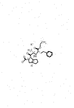 CCOC(=O)[C@H](CCc1ccccc1)N[C@@H](C)C(=O)N1[C@H](C(=O)[O-])C[C@@H]2CCC[C@@H]21.[K+]